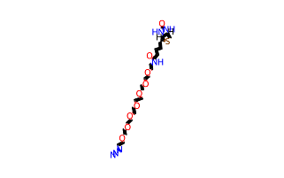 [N-]=[N+]=NCCOCCOCCOCCOCCOCCOCCOCCNC(=O)CCCC[C@@H]1SC[C@@H]2NC(=O)N[C@@H]21